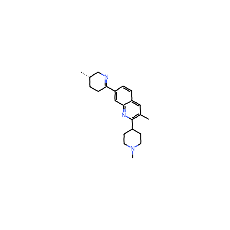 Cc1cc2ccc(C3=NC[C@@H](C)CC3)cc2nc1C1CCN(C)CC1